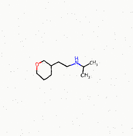 CC(C)NCCC1CCCOC1